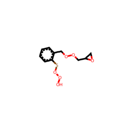 OOOSc1ccccc1COOCC1CO1